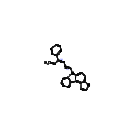 C=C/C(=C\N=C\n1c2ccccc2c2c3ccoc3ccc21)c1ccccc1